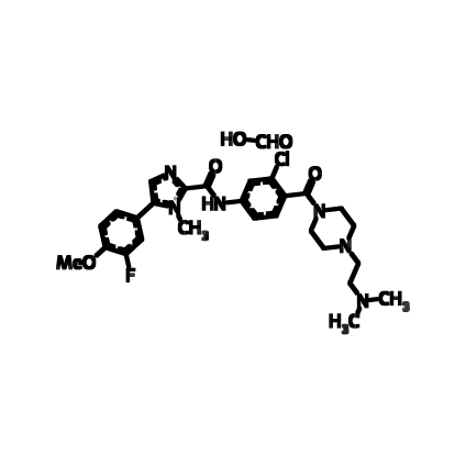 COc1ccc(-c2cnc(C(=O)Nc3ccc(C(=O)N4CCN(CCN(C)C)CC4)c(Cl)c3)n2C)cc1F.O=CO